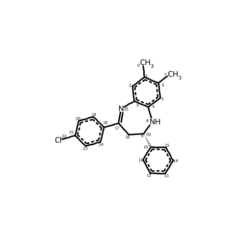 Cc1cc2c(cc1C)N[C@H](c1ccccc1)CC(c1ccc(Cl)cc1)=N2